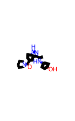 C=C(Nc1ccc(O)cc1)c1n[nH]c2ccc(C(=O)N3CCCCC3)cc12